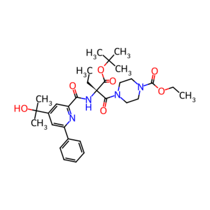 CCOC(=O)N1CCN(C(=O)[C@](CC)(NC(=O)c2cc(C(C)(C)O)cc(-c3ccccc3)n2)C(=O)OC(C)(C)C)CC1